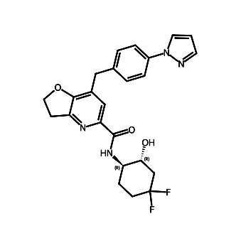 O=C(N[C@@H]1CCC(F)(F)C[C@H]1O)c1cc(Cc2ccc(-n3cccn3)cc2)c2c(n1)CCO2